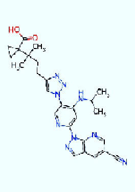 CC(C)Nc1cc(-n2ncc3cc(C#N)cnc32)ncc1-n1cc(CCC(C)(C)C2(C(=O)O)CC2)nn1